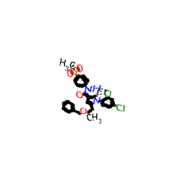 CCc1c(C(=O)Nc2ccc(S(C)(=O)=O)cc2)cc(C[C@H](C)OCc2ccccc2)n1-c1ccc(Cl)cc1Cl